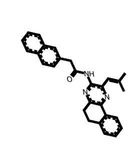 CC(C)=Cc1nc2c(nc1NC(=O)Cc1ccc3ccccc3c1)CCc1ccccc1-2